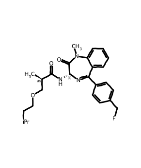 CC(C)CCOC[C@@H](C)C(=O)N[C@H]1N=C(c2ccc(CF)cc2)c2ccccc2N(C)C1=O